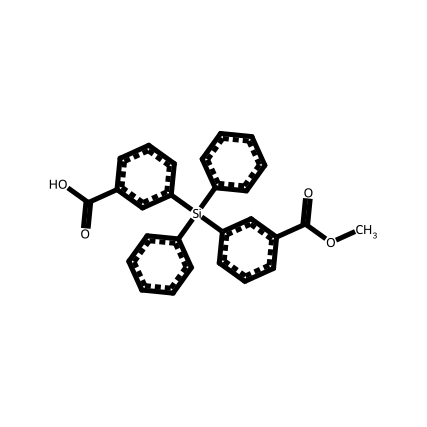 COC(=O)c1cccc([Si](c2ccccc2)(c2ccccc2)c2cccc(C(=O)O)c2)c1